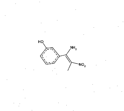 CC(=C(N)c1cccc(O)c1)[N+](=O)[O-]